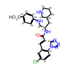 O=C(/C=C/c1cc(Cl)ccc1-n1cnnn1)N[C@@H](CNc1ccc(C(=O)O)cc1)CC1CCCNC1